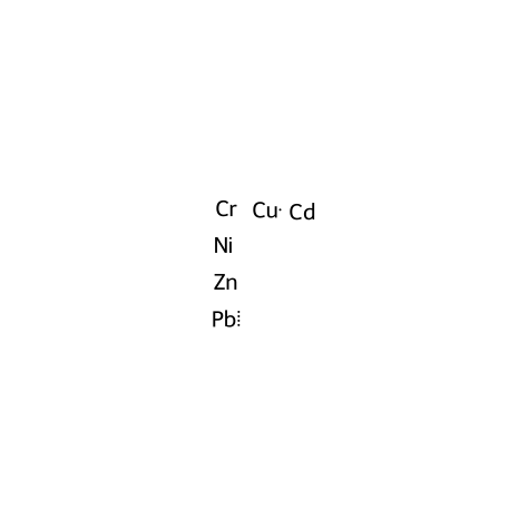 [Cd].[Cr].[Cu].[Ni].[Pb].[Zn]